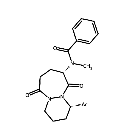 CC(=O)[C@@H]1CCCN2C(=O)CC[C@H](N(C)C(=O)c3ccccc3)C(=O)N12